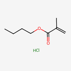 C=C(C)C(=O)OCCCC.Cl